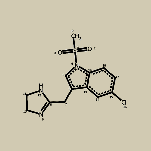 CS(=O)(=O)n1cc(CC2=NCCN2)c2cc(Cl)ccc21